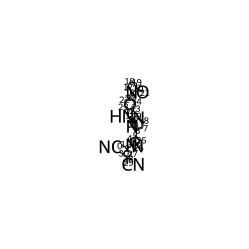 N#CCC1(n2cc(-c3ccnc(Nc4ccc(N5CCCC5=O)cc4)n3)cn2)CC(C#N)C1